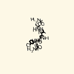 CC[C@H](COC(=O)[C@H](C)N)Nc1ncc(C)c(-c2c[nH]c(C(=O)N[C@H](COC(=O)[C@H](C)N)c3cccc(Cl)c3)c2)n1